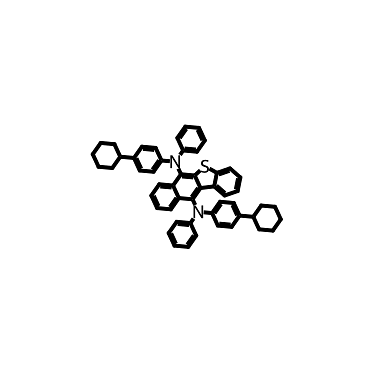 c1ccc(N(c2ccc(C3CCCCC3)cc2)c2c3ccccc3c(N(c3ccccc3)c3ccc(C4CCCCC4)cc3)c3c2sc2ccccc23)cc1